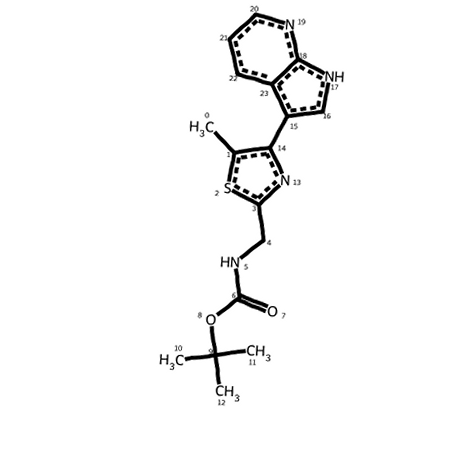 Cc1sc(CNC(=O)OC(C)(C)C)nc1-c1c[nH]c2ncccc12